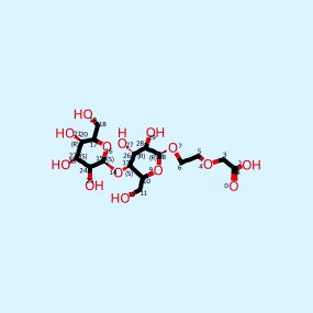 O=C(O)COCCO[C@@H]1OC(CO)[C@@H](O[C@@H]2OC(CO)[C@H](O)[C@H](O)C2O)[C@H](O)C1O